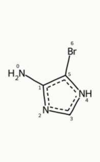 Nc1nc[nH]c1Br